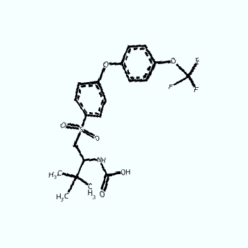 CC(C)(C)C(CS(=O)(=O)c1ccc(Oc2ccc(OC(F)(F)F)cc2)cc1)NC(=O)O